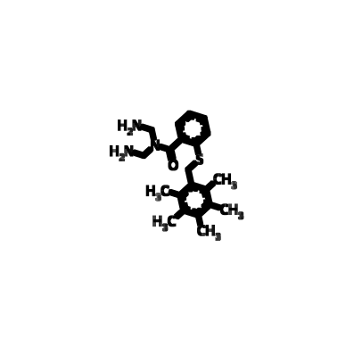 Cc1c(C)c(C)c(CSc2ccccc2C(=O)N(CN)CN)c(C)c1C